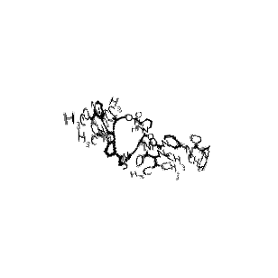 CCn1c(-c2cccnc2[C@H](C)OC)c2c3cc(ccc31)-c1csc(n1)C[C@H](NC(=O)C(C(C)C)N(C)C(=O)N1CC[C@@H](N(C)C(=O)[C@H]3CN3)C1)C(=O)N1CCC[C@H](N1)C(=O)OCC(C)(C)C2